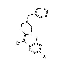 CCC(=C1CCN(Cc2ccccc2)CC1)c1ccc(C(F)(F)F)cc1F